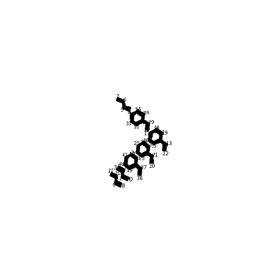 C=CC=C.C=CC=C.C=CC=C.C=Cc1ccccc1.C=Cc1ccccc1.C=Cc1ccccc1.C=Cc1ccccc1